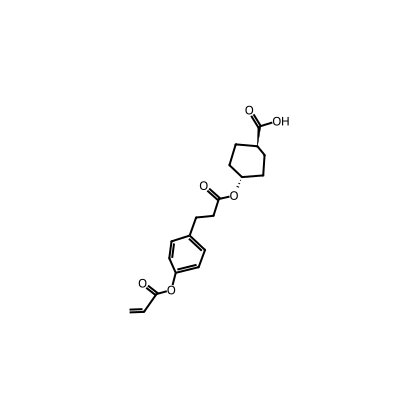 C=CC(=O)Oc1ccc(CCC(=O)O[C@H]2CC[C@H](C(=O)O)CC2)cc1